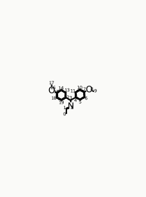 C/C=N/C(c1ccc(OC)cc1)c1ccc(OC)cc1